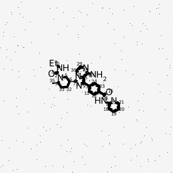 CCNC(=O)N1C[C@@H](c2nc(-c3ccc(C(=O)Nc4ccccn4)cc3)c3c(N)nccn23)CC[C@H]1C